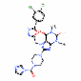 CN1C(=O)c2c(nc(N3CCN(C(=O)n4ccnc4)CC3)n2Cc2nnc(-c3ccc(Cl)c(Cl)c3)o2)N(C)C1O